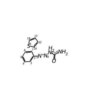 N#[N+]c1ccccc1.NC(N)=O.c1ccsc1